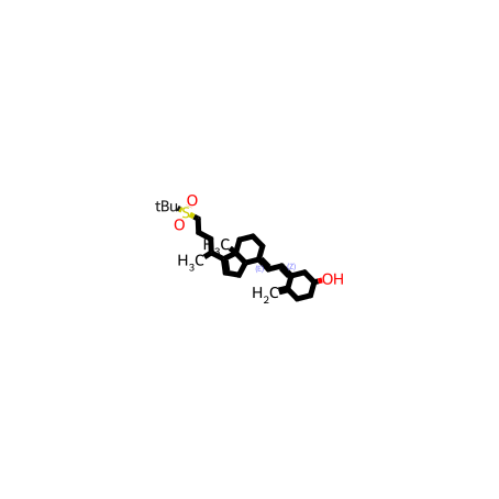 C=C1CCC(O)C/C1=C/C=C1\CCCC2(C)C(C(C)CCCS(=O)(=O)C(C)(C)C)=CCC12